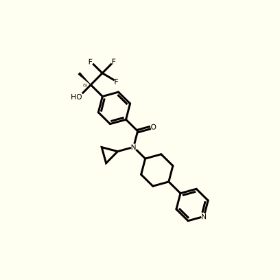 C[C@](O)(c1ccc(C(=O)N(C2CCC(c3ccncc3)CC2)C2CC2)cc1)C(F)(F)F